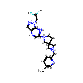 FC(F)Cn1ncc2ncc(N3CCC4(CN(Cc5ccc(C(F)(F)F)cn5)C4)C3)nc21